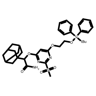 CC(C)(C)[Si](OCCOc1cc(OC(C(N)=O)C23CC4CC(CC(C4)C2)C3)nc(S(C)(=O)=O)n1)(c1ccccc1)c1ccccc1